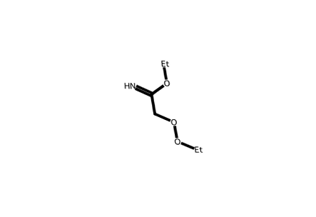 CCOOCC(=N)OCC